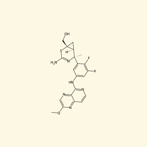 COc1cnc2c(Nc3cc(F)c(F)c([C@@]4(C)N=C(N)S[C@]5(CO)C[C@H]54)c3)nccc2n1